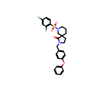 O=C1N(Cc2ccc(Oc3ccccc3)cc2)CCC12CCCN(S(=O)(=O)c1ccc(F)cc1F)C2